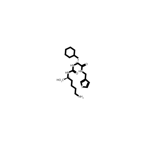 NCCCC[C@H](NC(=O)N[C@H](CC1CCCCC1)C(=O)NCc1ccsc1)C(=O)O